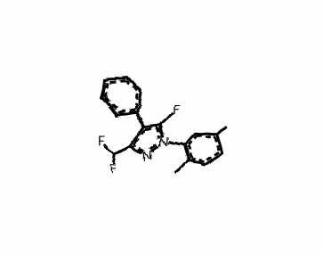 Cc1ccc(C)c(-n2nc(C(F)F)c(-c3ccccc3)c2F)c1